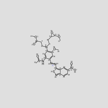 COC(=O)CCN(CCC1OC1OC)c1cc(NC(C)=O)c(/N=N/c2snc3ccc([N+](=O)[O-])cc23)cc1OC